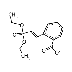 CCOP(=O)(C=Cc1ccccc1[N+](=O)[O-])OCC